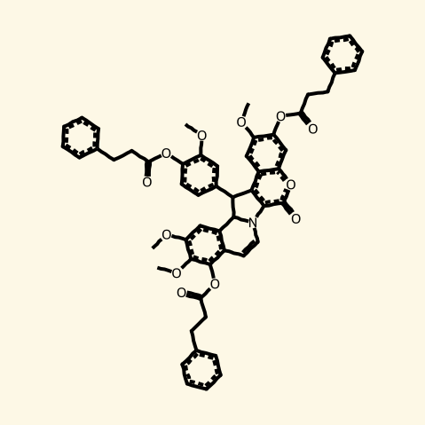 COc1cc(C2c3c(c(=O)oc4cc(OC(=O)CCc5ccccc5)c(OC)cc34)N3C=Cc4c(cc(OC)c(OC)c4OC(=O)CCc4ccccc4)C23)ccc1OC(=O)CCc1ccccc1